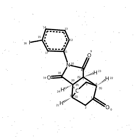 O=C1C[C@@H]2CC[C@H]1[C@@H]1C(=O)N(c3cccc(I)c3)C(=O)[C@H]21